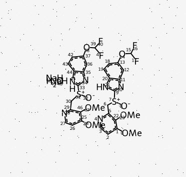 COc1ccnc(C[S+]([O-])c2nc3cc(OC(F)F)ccc3[nH]2)c1OC.COc1ccnc(C[S+]([O-])c2nc3cc(OC(F)F)ccc3[nH]2)c1OC.O.[NaH].[NaH]